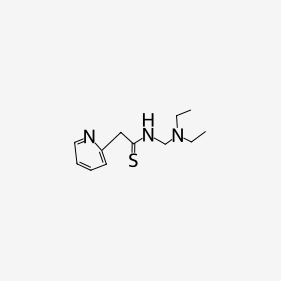 CCN(CC)CNC(=S)Cc1ccccn1